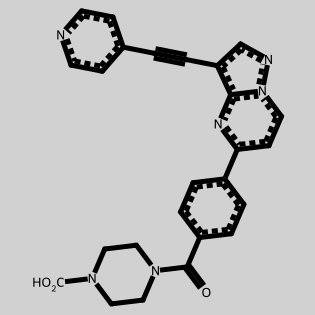 O=C(O)N1CCN(C(=O)c2ccc(-c3ccn4ncc(C#Cc5ccncc5)c4n3)cc2)CC1